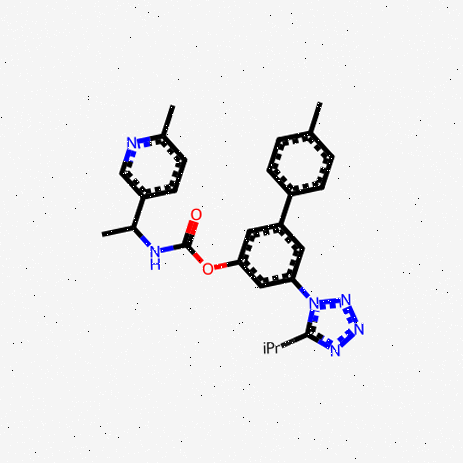 Cc1ccc(-c2cc(OC(=O)NC(C)c3ccc(C)nc3)cc(-n3nnnc3C(C)C)c2)cc1